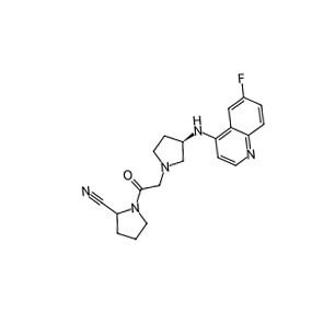 N#CC1CCCN1C(=O)CN1CC[C@@H](Nc2ccnc3ccc(F)cc23)C1